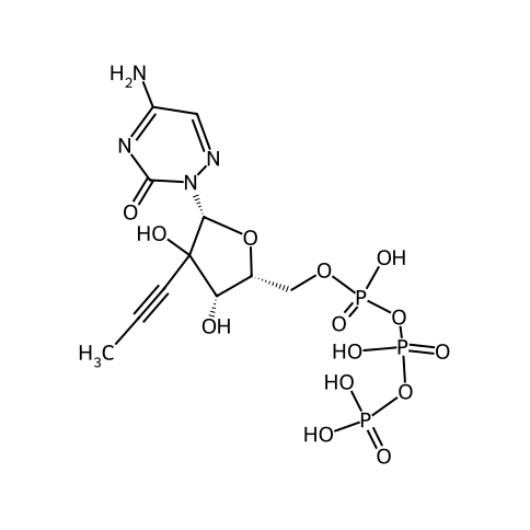 CC#CC1(O)[C@@H](O)[C@@H](COP(=O)(O)OP(=O)(O)OP(=O)(O)O)O[C@H]1n1ncc(N)nc1=O